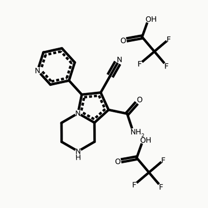 N#Cc1c(C(N)=O)c2n(c1-c1cccnc1)CCNC2.O=C(O)C(F)(F)F.O=C(O)C(F)(F)F